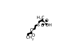 C=CC(=O)OCCSCC(C)S(=O)(=O)O